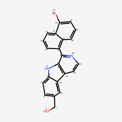 OCc1ccc2[nH]c3c(-c4cccc5c(Br)cccc45)nccc3c2c1